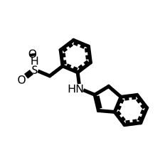 O=[SH](=O)Cc1ccccc1NC1=Cc2ccccc2C1